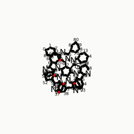 c1ccc(-c2cc(-c3c(-c4nc5ccccc5s4)c(-n4c5ccccc5c5ncccc54)c(-n4c5ccccc5c5ncccc54)c(-n4c5ccccc5c5ncccc54)c3-n3c4ccccc4c4ncccc43)nc(-c3ccccc3)n2)cc1